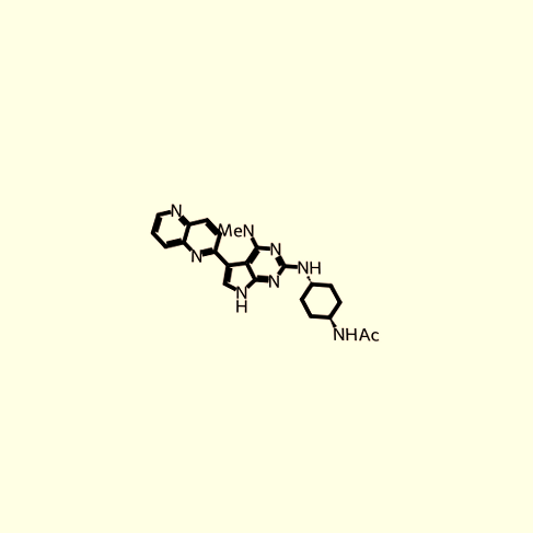 CNc1nc(N[C@H]2CC[C@H](NC(C)=O)CC2)nc2[nH]cc(-c3ccc4ncccc4n3)c12